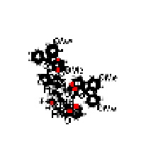 [C-]#[N+]CCOP(=O)(OC[C@]12C[C@H]1[C@@H](OC(c1ccccc1)(c1ccc(OC)cc1)c1ccc(OC)cc1)[C@H](n1cnc3c(=O)[nH]c(NC(=O)C(C)C)nc31)O2)O[C@H]1[C@H]2OC[C@]1(COC(c1ccccc1)(c1ccc(OC)cc1)c1ccc(OC)cc1)O[C@H]2n1cnc2c(NC(=O)c3ccccc3)ncnc21